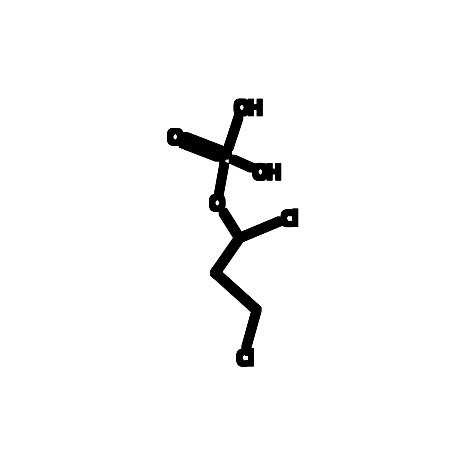 O=P(O)(O)OC(Cl)CCCl